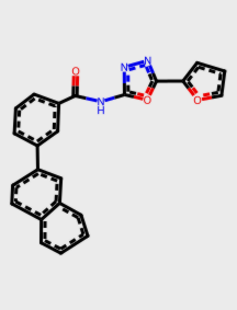 O=C(Nc1nnc(-c2ccco2)o1)c1cccc(-c2ccc3ccccc3c2)c1